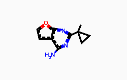 CC1(c2nc(N)c3ccoc3n2)CC1